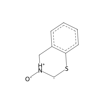 [O-][NH+]1[CH]Sc2ccccc2C1